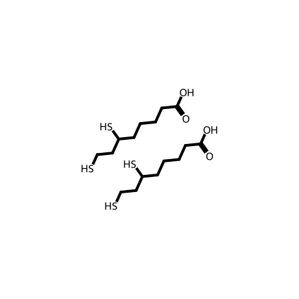 O=C(O)CCCCC(S)CCS.O=C(O)CCCCC(S)CCS